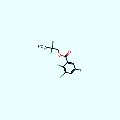 O=C(OCC(F)(F)S(=O)(=O)O)c1cc(F)cc(F)c1F